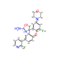 NC1=NC2(CO1)c1cc(-c3cccnc3F)ccc1Oc1c(F)cc(N3CCOCC3)cc12